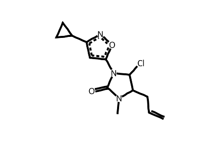 C=CCC1C(Cl)N(c2cc(C3CC3)no2)C(=O)N1C